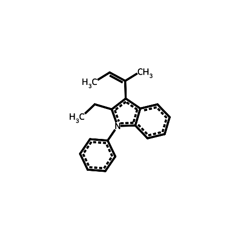 C/C=C(/C)c1c(CC)n(-c2ccccc2)c2ccccc12